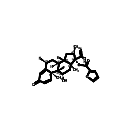 C[C@@H]1C[C@H]2[C@@H]3C[C@H](F)C4=CC(=O)C=C[C@]4(C)[C@@]3(F)[C@@H](O)C[C@]2(C)[C@]1(OC(=O)c1ccco1)C(O)=S